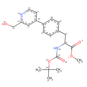 COC(=O)C(Cc1ccc(-c2ccnc(CO)c2)cc1)NC(=O)OC(C)(C)C